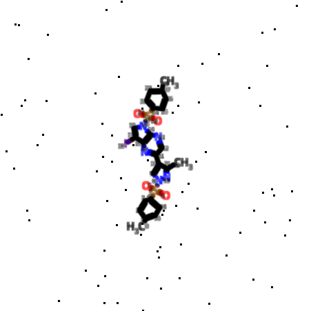 Cc1ccc(S(=O)(=O)n2cc(-c3cnc4c(n3)c(I)cn4S(=O)(=O)c3ccc(C)cc3)c(C)n2)cc1